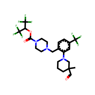 CC1(C=O)CCCN(c2cc(C(F)(F)F)ccc2CN2CCN(C(=O)OC(C(F)(F)F)C(F)(F)F)CC2)C1